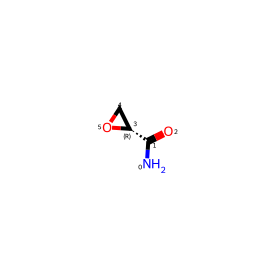 NC(=O)[C@H]1CO1